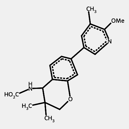 COc1ncc(-c2ccc3c(c2)OCC(C)(C)C3NC(=O)O)cc1C